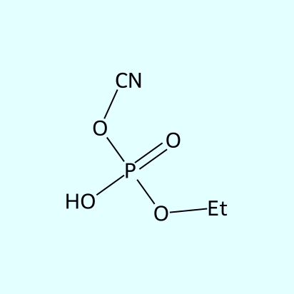 CCOP(=O)(O)OC#N